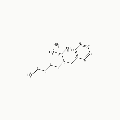 Br.CCCCCC(Cc1ccccc1)P(C)C